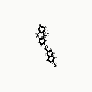 COc1ccc2nc(COc3ccc4c(c3)C(O)c3ccccc3CO4)ccc2c1